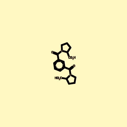 O=C(O)C1CCCN1C(=O)c1cccc(C(=O)N2CCCC2C(=O)O)c1